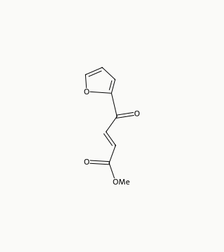 COC(=O)C=CC(=O)c1ccco1